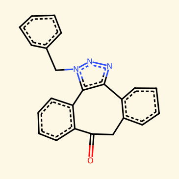 O=C1Cc2ccccc2-c2nnn(Cc3ccccc3)c2-c2ccccc21